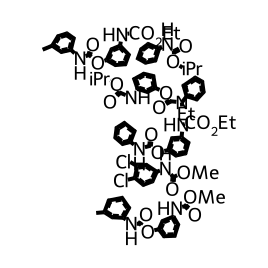 CC(C)OC(=O)Nc1ccccc1.CCN(C(=O)Oc1cccc(NC(=O)OC(C)C)c1)c1ccccc1.CCOC(=O)Nc1cccc(OC(=O)Nc2cccc(C)c2)c1.CCOC(=O)Nc1cccc(OC(=O)Nc2ccccc2)c1.COC(=O)Nc1ccc(Cl)c(Cl)c1.COC(=O)Nc1cccc(OC(=O)Nc2cccc(C)c2)c1